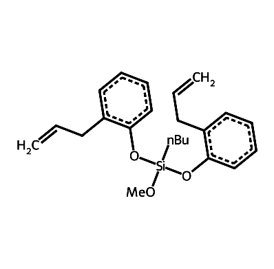 C=CCc1ccccc1O[Si](CCCC)(OC)Oc1ccccc1CC=C